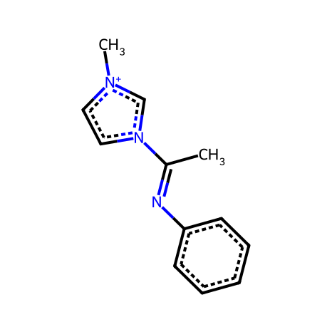 C/C(=N\c1ccccc1)n1cc[n+](C)c1